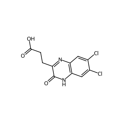 O=C(O)CCc1nc2cc(Cl)c(Cl)cc2[nH]c1=O